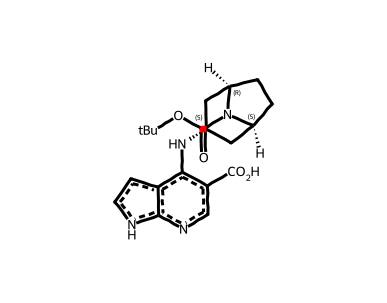 CC(C)(C)OC(=O)N1[C@@H]2CC[C@H]1C[C@H](Nc1c(C(=O)O)cnc3[nH]ccc13)C2